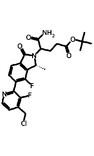 C[C@@H]1c2c(ccc(-c3nccc(CCl)c3F)c2F)C(=O)N1C(CCC(=O)OC(C)(C)C)C(N)=O